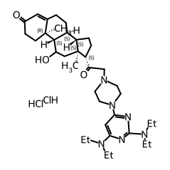 CCN(CC)c1cc(N2CCN(CC(=O)[C@H]3CC[C@H]4[C@@H]5CCC6=CC(=O)CC[C@]6(C)[C@H]5C(O)C[C@]34C)CC2)nc(N(CC)CC)n1.Cl.Cl